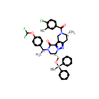 C[C@@H]1Cc2nn3c(c2CN1C(=O)c1ccc(Cl)c(C#N)c1)C(=O)N([C@@H](C)c1ccc(OC(F)F)cc1)C[C@H]3CO[Si](c1ccccc1)(c1ccccc1)C(C)(C)C